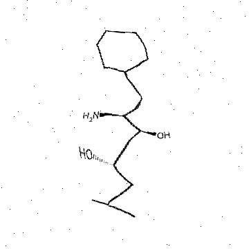 CC(C)C[C@H](O)[C@H](O)[C@@H](N)CC1CCCCC1